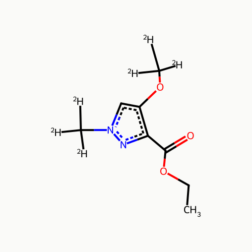 [2H]C([2H])([2H])Oc1cn(C([2H])([2H])[2H])nc1C(=O)OCC